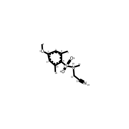 COc1cc(C)c(S(=O)(=O)N(C)CC#N)c(C)c1